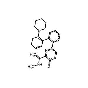 C=C(NC)c1nn(-c2ccccc2C2=C(N3CCCCC3)CCC=C2)ccc1=O